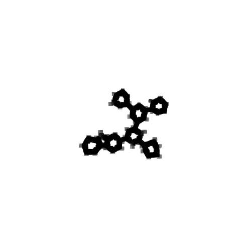 c1ccc(-c2cc(-c3cccnc3)cc(-c3cc(-c4ccc5c(c4)oc4ccccc45)nc(-c4ccccc4)n3)c2)cc1